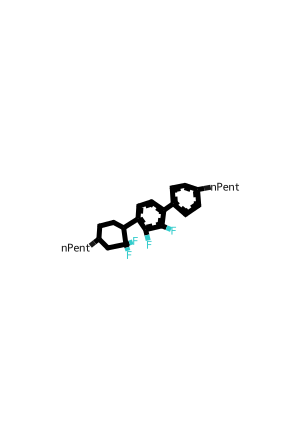 CCCCCc1ccc(-c2ccc(C3CCC(CCCCC)CC3(F)F)c(F)c2F)cc1